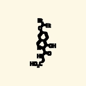 CCC(CC)Oc1ccc2c(O)c(C(=O)NCC(=O)O)ncc2c1